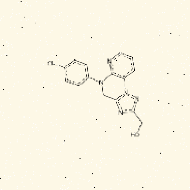 OCc1nc2n(n1)-c1cccnc1N(c1ccc(Cl)cc1)C2